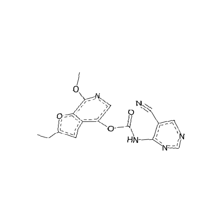 CCc1cc2c(OC(=O)Nc3ncncc3C#N)cnc(OC)c2o1